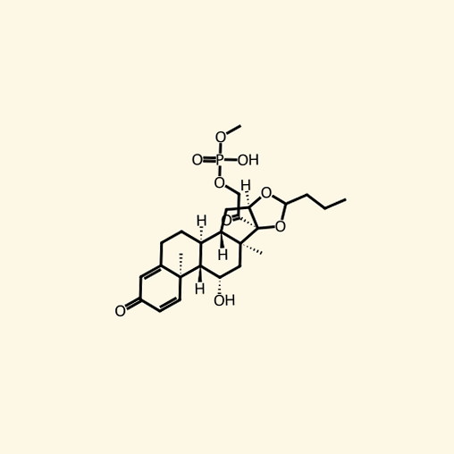 CCCC1O[C@@H]2C[C@H]3[C@@H]4CCC5=CC(=O)C=C[C@]5(C)[C@H]4[C@@H](O)C[C@]3(C)[C@]2(C(=O)COP(=O)(O)OC)O1